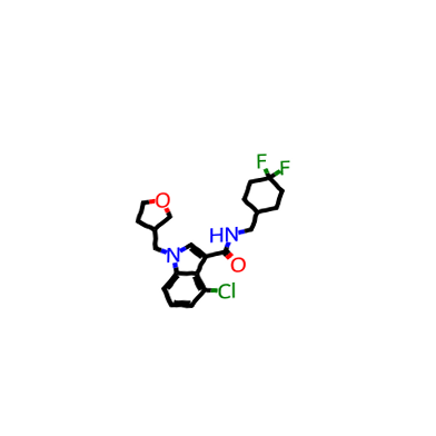 O=C(NCC1CCC(F)(F)CC1)c1cn(CC2CCOC2)c2cccc(Cl)c12